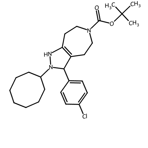 CC(C)(C)OC(=O)N1CCC2=C(CC1)C(c1ccc(Cl)cc1)N(C1CCCCCCC1)N2